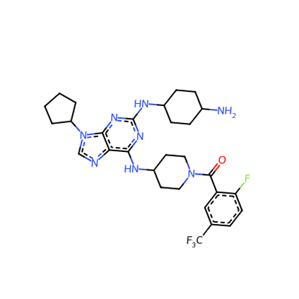 NC1CCC(Nc2nc(NC3CCN(C(=O)c4cc(C(F)(F)F)ccc4F)CC3)c3ncn(C4CCCC4)c3n2)CC1